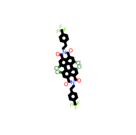 O=C1c2cc(Cl)c3c4c(Cl)cc5c6c(cc(Cl)c(c7c(Cl)cc(c2c37)C(=O)N1CCc1ccc(C(F)(F)F)cc1)c64)C(=O)N(CCc1ccc(C(F)(F)F)cc1)C5=O